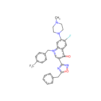 CN1CCN(c2cc3c(cc2F)c(=O)c(-c2noc(Cc4ccccc4)n2)cn3Cc2ccc(C(F)(F)F)cc2)CC1